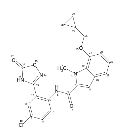 Cn1c(C(=O)Nc2ccc(Cl)cc2-c2noc(=O)[nH]2)cc2cccc(OCC3CC3)c21